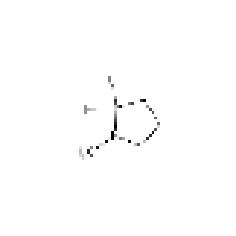 CN1CCCC1(F)F